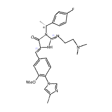 COc1cc(/C=C2\N/C(=N\CCN(C)C)N([C@H](C)c3ccc(F)cc3)C2=O)ccc1-n1cnc(C)c1